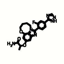 CC(Oc1cc2c3c(c1)nc(-c1ccc(-c4ncn[nH]4)cc1F)n3CCCCO2)C(N)=O